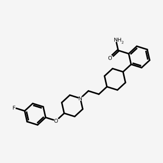 NC(=O)c1ccccc1C1CCC(CCN2CCC(Oc3ccc(F)cc3)CC2)CC1